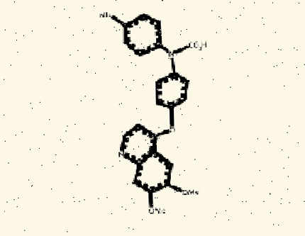 CCCCc1ccc(N(C(=O)O)c2ccc(Oc3ccnc4cc(OC)c(OC)cc34)cc2)cc1